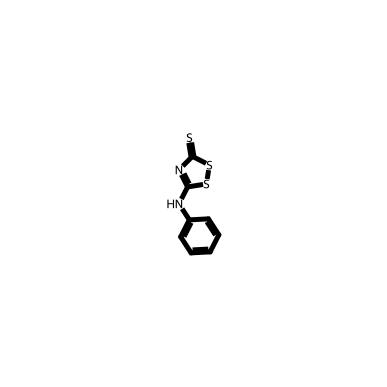 S=c1nc(Nc2ccccc2)ss1